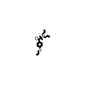 C=CCSc1ccc(C(=O)C(C)(C)N(CC=C)CC=C)cc1